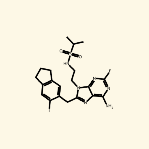 CC(C)S(=O)(=O)NCCn1c(Cc2cc3c(cc2I)CCC3)nc2c(N)nc(F)nc21